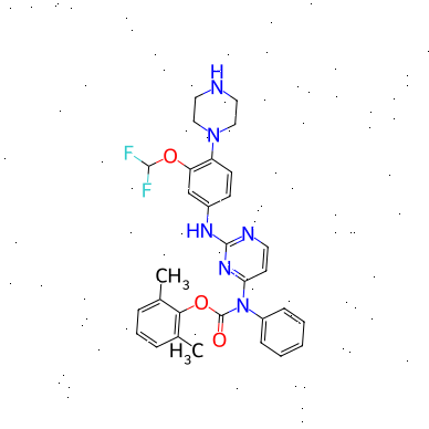 Cc1cccc(C)c1OC(=O)N(c1ccccc1)c1ccnc(Nc2ccc(N3CCNCC3)c(OC(F)F)c2)n1